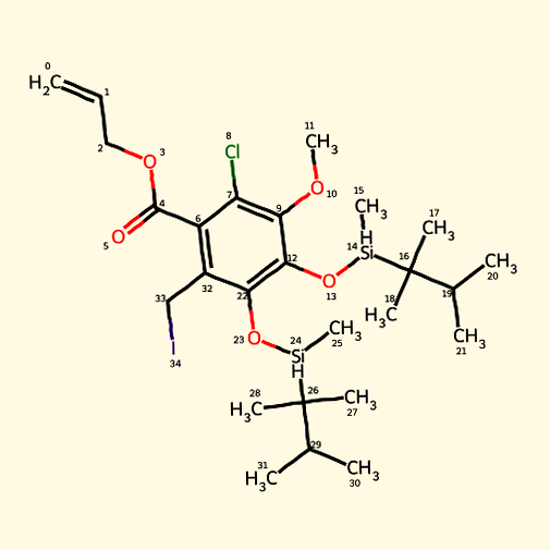 C=CCOC(=O)c1c(Cl)c(OC)c(O[SiH](C)C(C)(C)C(C)C)c(O[SiH](C)C(C)(C)C(C)C)c1CI